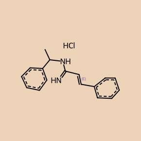 CC(NC(=N)/C=C/c1ccccc1)c1ccccc1.Cl